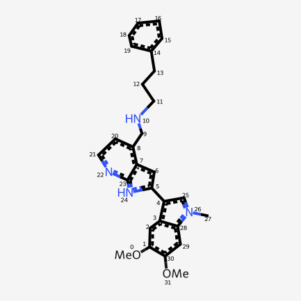 COc1cc2c(-c3cc4c(CNCCCc5ccccc5)ccnc4[nH]3)cn(C)c2cc1OC